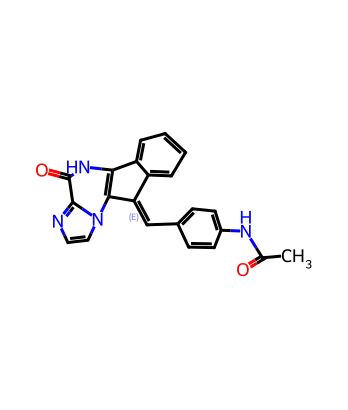 CC(=O)Nc1ccc(/C=c2\c3ccccc3c3[nH]c(=O)c4nccn4c23)cc1